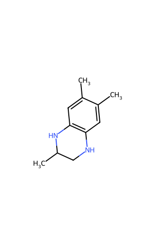 Cc1cc2c(cc1C)NC(C)CN2